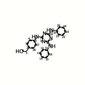 OCc1ccc(Nc2nc(Nc3ccccc3)nc(Nc3ccccc3)n2)cc1